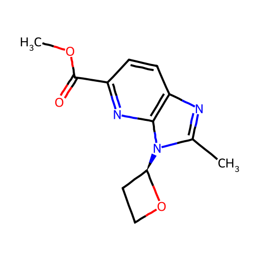 COC(=O)c1ccc2nc(C)n([C@@H]3CCO3)c2n1